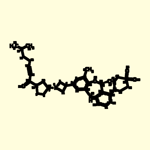 Cc1cc(C2CN([C@@H]3CCN(C(=O)C#CCCN(C)C)C3)C2)cc2c1O[C@H](C)c1c(ncnc1N1CCS(=O)(=O)CC1)N2